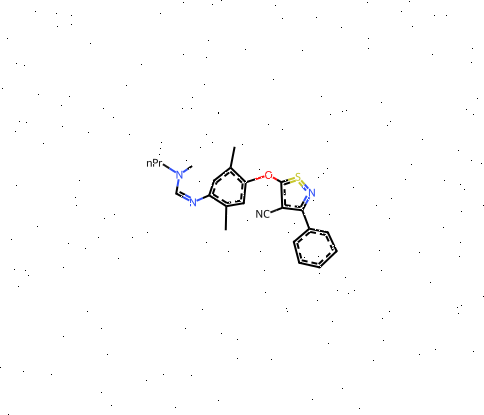 CCCN(C)/C=N\c1cc(C)c(Oc2snc(-c3ccccc3)c2C#N)cc1C